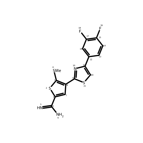 CSc1sc(C(=N)N)cc1-c1nc(-c2ccc(F)c(F)c2)cs1